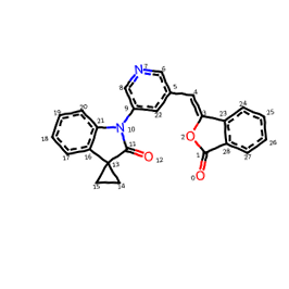 O=C1OC(=Cc2cncc(N3C(=O)C4(CC4)c4ccccc43)c2)c2ccccc21